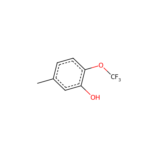 Cc1ccc(OC(F)(F)F)c(O)c1